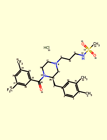 Cc1ccc(C[C@@H]2CN(CCCNS(C)(=O)=O)CCN2C(=O)c2cc(C(F)(F)F)cc(C(F)(F)F)c2)cc1C.Cl